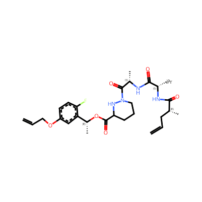 C=CCOc1ccc(F)c([C@@H](C)OC(=O)C2CCCN(C(=O)[C@H](C)NC(=O)[C@@H](NC(=O)[C@H](C)CC=C)C(C)C)N2)c1